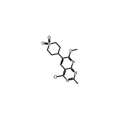 COc1nc2nc(C)nc(Cl)c2cc1C1CCS(=O)(=O)CC1